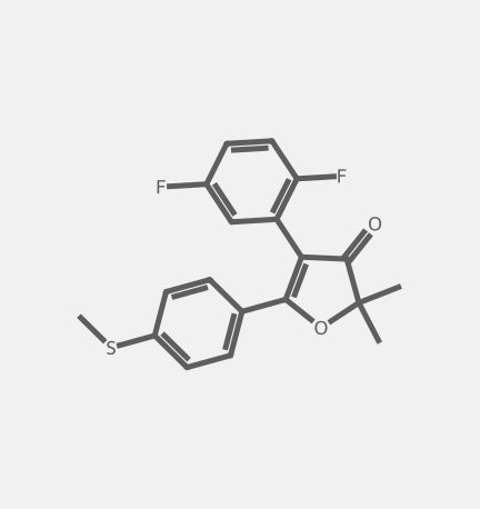 CSc1ccc(C2=C(c3cc(F)ccc3F)C(=O)C(C)(C)O2)cc1